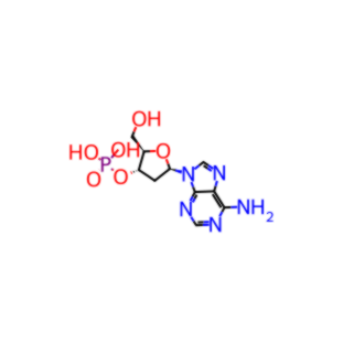 Nc1ncnc2c1ncn2[C@H]1C[C@H](OP(=O)(O)O)[C@@H](CO)O1